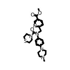 COC(=O)c1ccc(CN(C(=O)N2CCSCC2)c2ccc(N3CCN(C)CC3)cc2)nc1